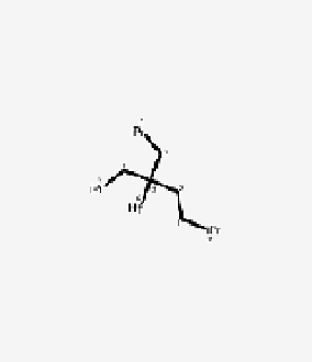 CC(C)CC[C]([Hf])(CC(C)C)CC(C)C